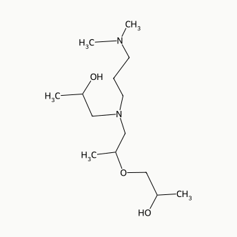 CC(O)COC(C)CN(CCCN(C)C)CC(C)O